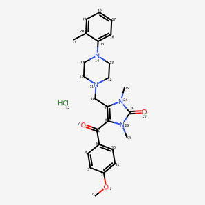 COc1ccc(C(=O)c2c(CN3CCN(c4ccccc4C)CC3)n(C)c(=O)n2C)cc1.Cl